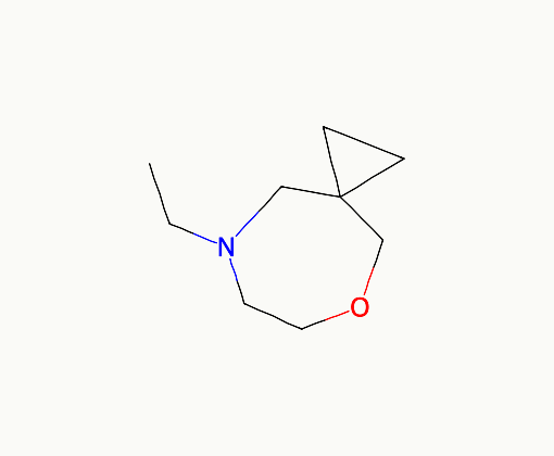 CCN1CCOCC2(CC2)C1